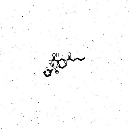 CCCCC(=O)N1CCN(S(=O)(=O)c2cccs2)C(C(=O)O)C1